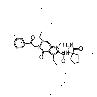 CCc1c(C(=O)NC2(C(N)=O)CCCC2)n(C)c2cc(CC)n(CC(=O)c3ccccc3)c(=O)c12